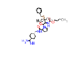 CCCCOC(=O)N[C@@H](C(=O)N1CCC[C@H]1C(=O)NC[C@H]1CC[C@H](C(=N)N)CC1)C(C)(C)SCc1ccccc1